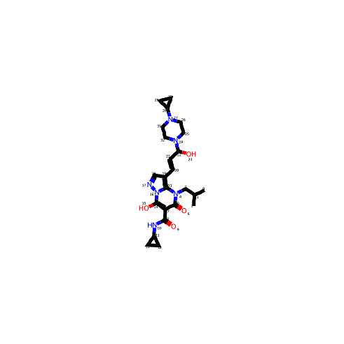 CC(C)Cn1c(=O)c(C(=O)NC2CC2)c(O)n2ncc(/C=C/C(O)N3CCN(C4CC4)CC3)c12